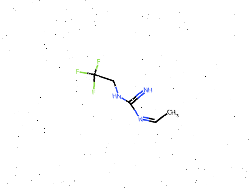 C/C=N\C(=N)NCC(F)(F)F